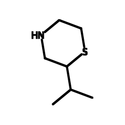 CC(C)C1CNCCS1